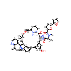 CCn1c(-c2cccnc2[C@H](C)OC)c2c3cc(ccc31)-c1cc(O)cc(c1)C[C@H](NC(=O)[C@H](C(C)C)N(C)C(=O)C1CCC(C3CCCO3)O1)C(=O)N1CCC[C@](C=O)(COCC(C)(C)C2)N1